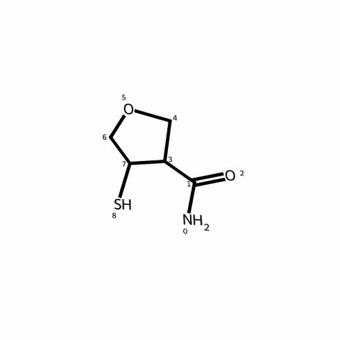 NC(=O)C1COCC1S